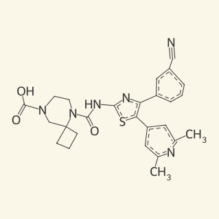 Cc1cc(-c2sc(NC(=O)N3CCN(C(=O)O)CC34CCC4)nc2-c2cccc(C#N)c2)cc(C)n1